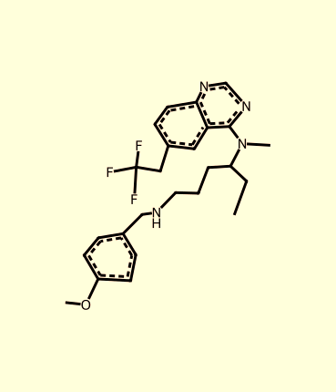 CCC(CCCNCc1ccc(OC)cc1)N(C)c1ncnc2ccc(CC(F)(F)F)cc12